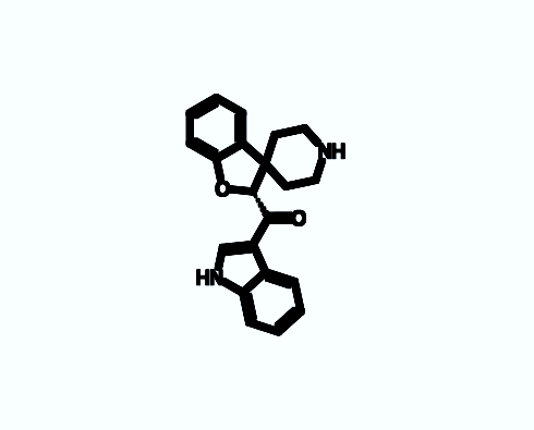 O=C(c1c[nH]c2ccccc12)[C@@H]1Oc2ccccc2C12CCNCC2